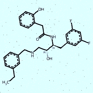 CCc1cccc(CNC[C@@H](O)[C@H](Cc2cc(F)cc(F)c2)NC(=O)Cc2ccccc2O)c1